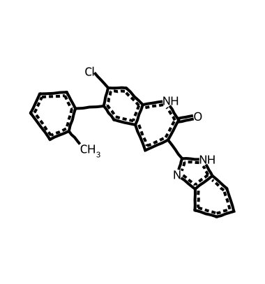 Cc1ccccc1-c1cc2cc(-c3nc4ccccc4[nH]3)c(=O)[nH]c2cc1Cl